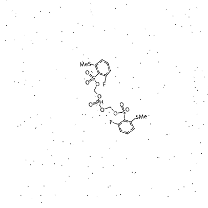 CSc1cccc(F)c1S(=O)(=O)OCO[PH](=O)OCOS(=O)(=O)c1c(F)cccc1SC